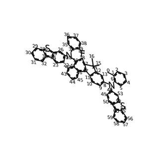 Cc1ccccc1N(c1ccc2c(c1)C(C)(C)c1cc(N(c3ccc4c(c3)sc3ccccc34)c3ccccc3F)c3ccccc3c1-2)c1ccc2c(c1)sc1ccccc12